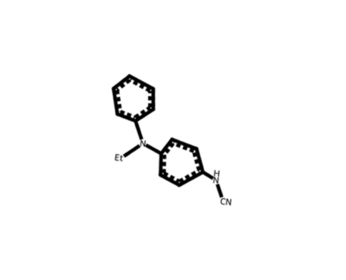 CCN(c1ccccc1)c1ccc(NC#N)cc1